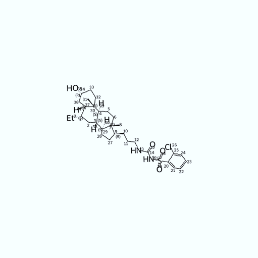 CC[C@H]1C[C@@H]2[C@H](CC[C@]3(C)[C@@H](CCCNC(=O)NS(=O)(=O)c4ccccc4Cl)CC[C@@H]23)[C@@]2(C)CC[C@@H](O)C[C@@H]12